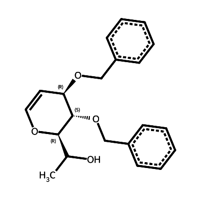 CC(O)[C@H]1OC=C[C@@H](OCc2ccccc2)[C@@H]1OCc1ccccc1